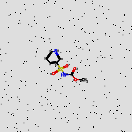 COC(=O)NS(=O)(=O)c1cccnc1